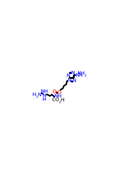 N=C(N)NCCC[C@H](NC(=O)OCCCCCn1cnc2c(NN)ncnc21)C(=O)O